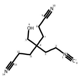 [C-]#[N+]CCC(CO)(CCC#N)CCC#N